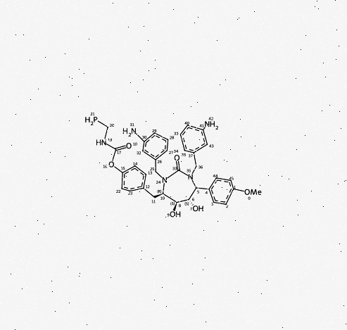 COc1ccc(C2[C@H](O)[C@@H](O)[C@@H](Cc3ccc(OC(=O)NCP)cc3)N(Cc3cccc(N)c3)C(=O)N2Cc2cccc(N)c2)cc1